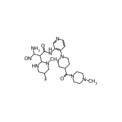 CN1CCN(C(=O)C2CCN(c3ccncc3NC(=O)C(C(N)N=O)C3NCC(F)CN3C)CC2)CC1